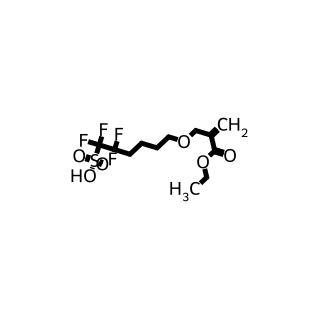 C=C(COCCCCC(F)(F)C(F)(F)S(=O)(=O)O)C(=O)OCC